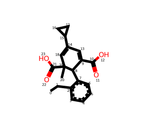 CCc1ccccc1C1C(C(=O)O)=CC(C2CC2)=CC1(C)C(=O)O